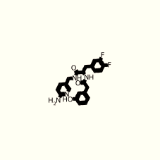 Nc1ccc(CNC(=O)C(Cc2ccc(F)c(F)c2)NC(=O)Cc2cccc(O)c2)cn1